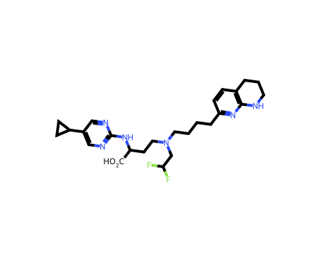 O=C(O)C(CCN(CCCCc1ccc2c(n1)NCCC2)CC(F)F)Nc1ncc(C2CC2)cn1